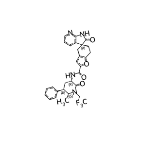 C[C@H]1[C@@H](c2ccccc2)C[C@@H](NC(=O)c2cc3c(o2)CC[C@]2(C3)C(=O)Nc3ncccc32)C(=O)N1CC(F)(F)F